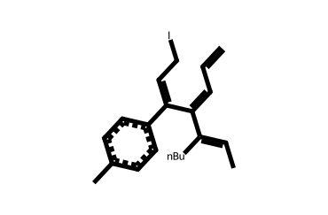 C=C/C=C(C(=C/CI)\c1ccc(C)cc1)/C(=C/C)CCCC